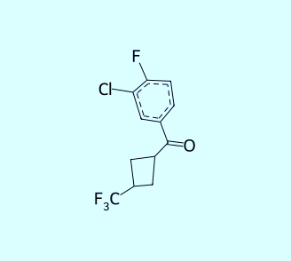 O=C(c1ccc(F)c(Cl)c1)C1CC(C(F)(F)F)C1